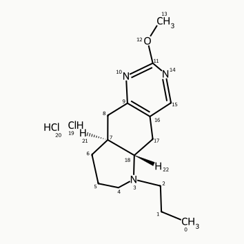 CCCN1CCC[C@H]2Cc3nc(OC)ncc3C[C@@H]21.Cl.Cl